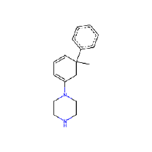 CC1(c2ccccc2)C=CC=C(N2CCNCC2)C1